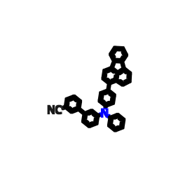 N#Cc1cccc(-c2cccc(N(c3ccccc3)c3ccc(-c4ccc5c6c(cccc46)-c4ccccc4-5)cc3)c2)c1